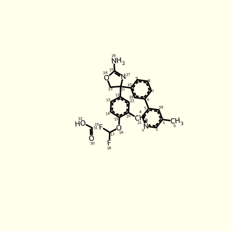 Cc1cncc(-c2cccc(C3(c4ccc(OC(F)F)c(C)c4)COC(N)=N3)c2)c1.O=CO